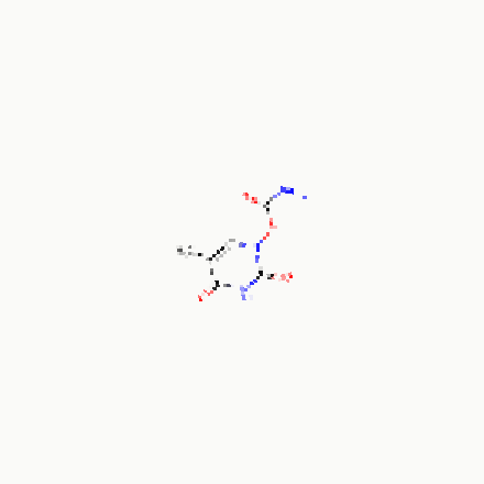 Cc1cn(OC(N)=O)c(=O)[nH]c1=O